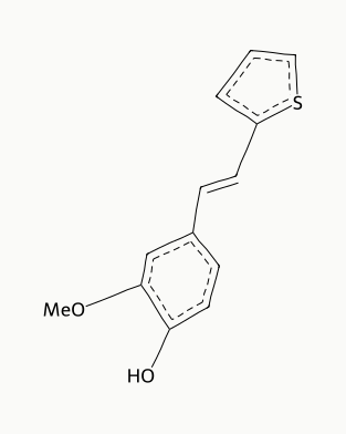 COc1cc(C=Cc2cccs2)ccc1O